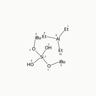 CCC(C)O[Si](O)(O)OC(C)CC.C[CH2][Al]([CH2]C)[CH2]C